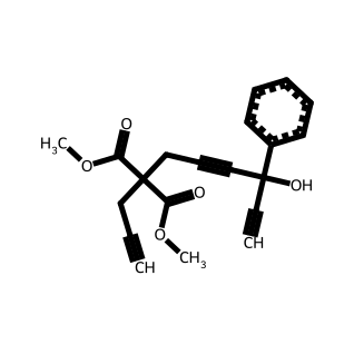 C#CCC(CC#CC(O)(C#C)c1ccccc1)(C(=O)OC)C(=O)OC